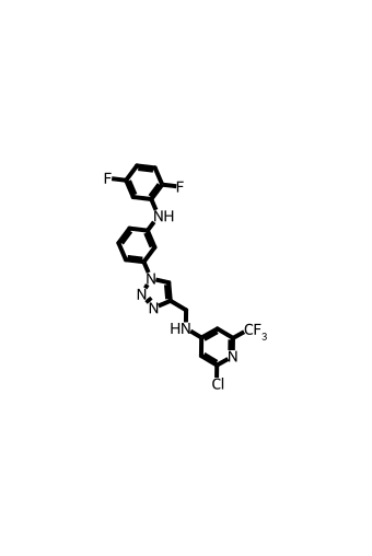 Fc1ccc(F)c(Nc2cccc(-n3cc(CNc4cc(Cl)nc(C(F)(F)F)c4)nn3)c2)c1